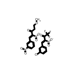 COCCC(=O)C(=Cc1cccc([N+](=O)[O-])c1)[N+](=O)[O-].O=C(C(=Cc1cccc(Cl)c1)[N+](=O)[O-])C(F)(F)F